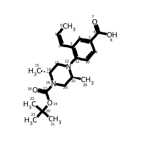 C/C=C\c1cc(C(=O)O)ccc1N1C[C@@H](C)N(C(=O)OC(C)(C)C)C[C@@H]1C